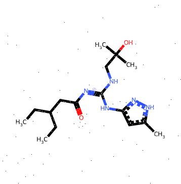 CCC(CC)CC(=O)/N=C(/NCC(C)(C)O)Nc1cc(C)[nH]n1